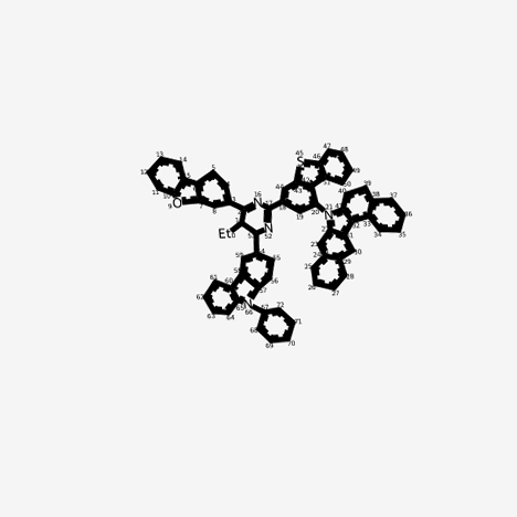 CCC1C(c2ccc3c(c2)oc2ccccc23)=NC(c2cc(-n3c4cc5ccccc5cc4c4c5ccccc5ccc43)c3c(c2)sc2ccccc23)=NC1c1ccc2c(c1)c1ccccc1n2-c1ccccc1